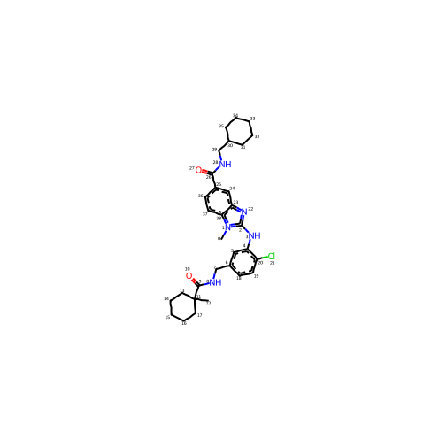 Cn1c(Nc2cc(CNC(=O)C3(C)CCCCC3)ccc2Cl)nc2cc(C(=O)NCC3CCCCC3)ccc21